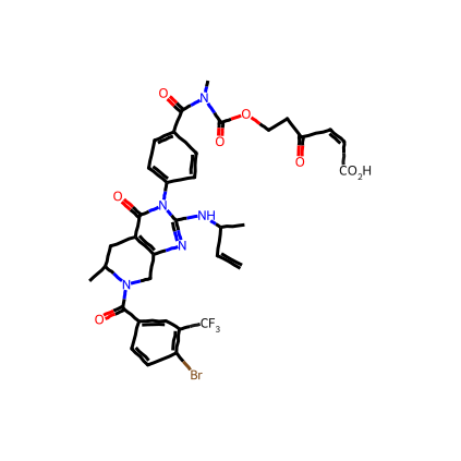 C=CC(C)Nc1nc2c(c(=O)n1-c1ccc(C(=O)N(C)C(=O)OCCC(=O)/C=C\C(=O)O)cc1)CC(C)N(C(=O)c1ccc(Br)c(C(F)(F)F)c1)C2